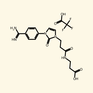 N=C(N)c1ccc(-n2ccn(CCC(=O)NCCC(=O)O)c2=O)cc1.O=C(O)C(F)(F)F